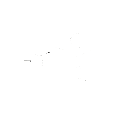 [2H]C([2H])(CN(C)C([2H])([2H])[2H])c1c[nH]c2ccc(C([2H])([2H])[C@H]3COC(=O)N3)cc12